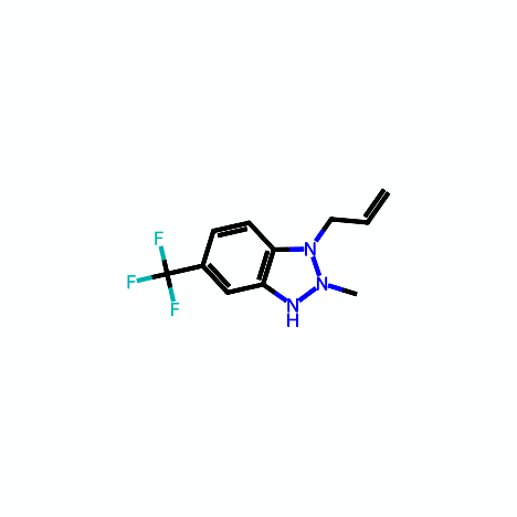 C=CCN1c2ccc(C(F)(F)F)cc2NN1C